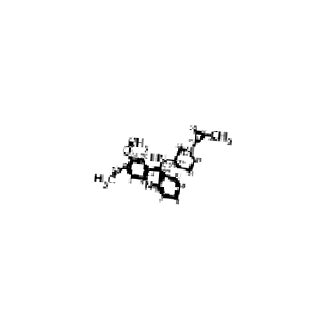 COc1cc2nc3ccccc3c(N[C@@H]3CCCN(C4CC4C)C3)c2cc1OC